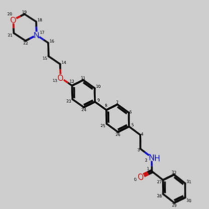 O=C(NCCc1ccc(-c2ccc(OCCCN3CCOCC3)cc2)cc1)c1ccccc1